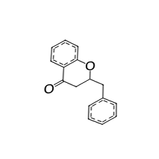 O=C1CC(Cc2ccccc2)Oc2ccccc21